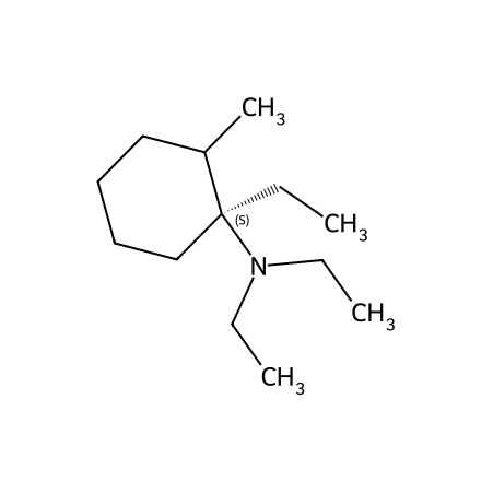 CCN(CC)[C@@]1(CC)CCCCC1C